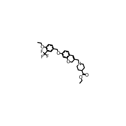 CCOC(=O)C1CCN(CC2=Cc3ccc(OCc4ccc(OCC)c(C(F)(F)F)c4)cc3OC2)CC1